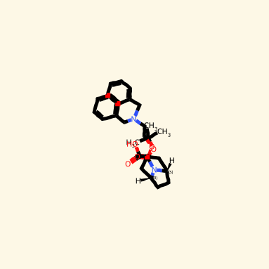 CC(C)(C)OC(=O)N1[C@@H]2CC[C@H]1C[C@@](OCCN(Cc1ccccc1)Cc1ccccc1)(C(=O)O)C2